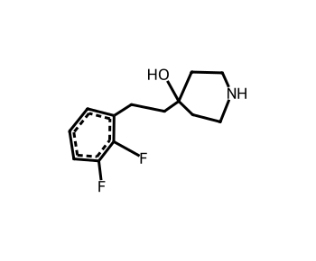 OC1(CCc2cccc(F)c2F)CCNCC1